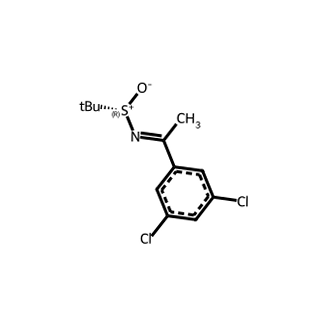 CC(=N[S@@+]([O-])C(C)(C)C)c1cc(Cl)cc(Cl)c1